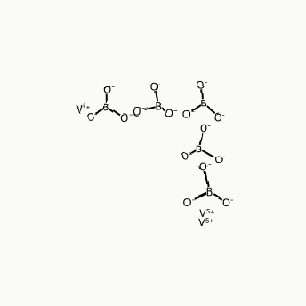 [O-]B([O-])[O-].[O-]B([O-])[O-].[O-]B([O-])[O-].[O-]B([O-])[O-].[O-]B([O-])[O-].[V+5].[V+5].[V+5]